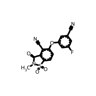 CN1C(=O)c2c(ccc(Oc3cc(F)cc(C#N)c3)c2C#N)S1(=O)=O